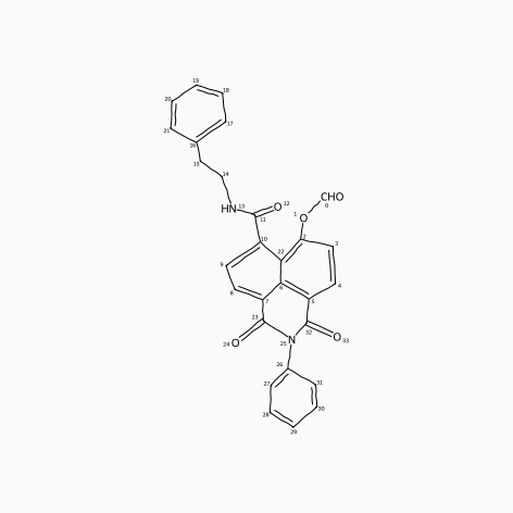 O=COc1ccc2c3c(ccc(C(=O)NCCc4ccccc4)c13)C(=O)N(c1ccccc1)C2=O